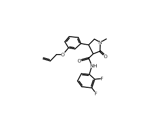 C=CCOc1cccc(C2CN(C)C(=O)C2C(=O)Nc2cccc(F)c2F)c1